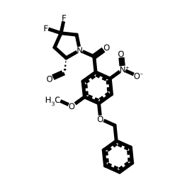 COc1cc(C(=O)N2CC(F)(F)C[C@H]2C=O)c([N+](=O)[O-])cc1OCc1ccccc1